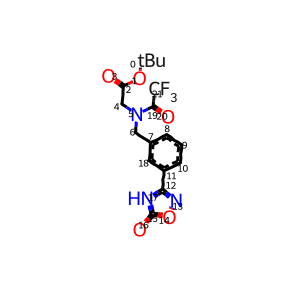 CC(C)(C)OC(=O)CN(Cc1cccc(-c2noc(=O)[nH]2)c1)C(=O)C(F)(F)F